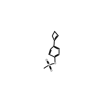 CS(=O)(=O)Oc1ccc(C2=CCC2)cc1